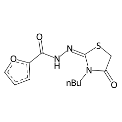 CCCCN1C(=O)CS/C1=N/NC(=O)c1ccco1